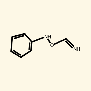 N=CONc1ccccc1